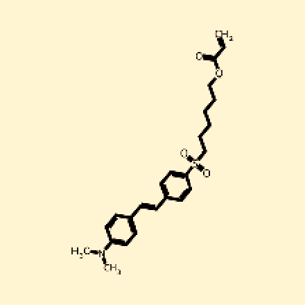 C=CC(=O)OCCCCCCS(=O)(=O)c1ccc(C=Cc2ccc(N(C)C)cc2)cc1